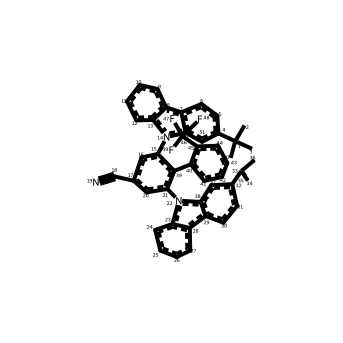 CC(C)(C)c1ccc2c3ccccc3n(-c3cc(C#N)cc(-n4c5ccccc5c5ccc(C(C)(C)C)cc54)c3-c3ccccc3C(F)(F)F)c2c1